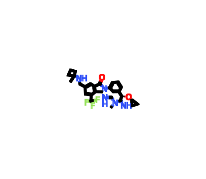 CN(C=N)C(=N)[C@@H](OC1CC1)c1cccc(N2Cc3c(cc(CNC4(C)CCC4)cc3C(F)(F)F)C2=O)c1